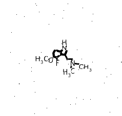 CCN(CC)CCc1c[nH]c2ccc(OC)c(F)c12